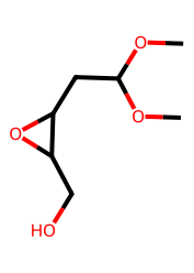 COC(CC1OC1CO)OC